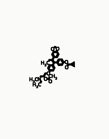 CCC(=C(c1ccc(OCC(CN(C)CC)OC(C)=O)cc1)c1ccc(OC(=O)C2CC2)cc1)c1ccc2c(c1)OCO2